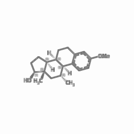 COc1ccc2c(c1)CC[C@H]1[C@@H]2[C@H](C)C[C@]2(C)[C@@H](O)CC[C@@H]12